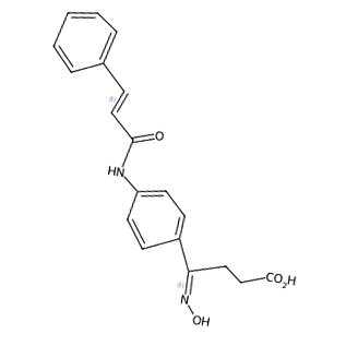 O=C(O)CC/C(=N\O)c1ccc(NC(=O)/C=C/c2ccccc2)cc1